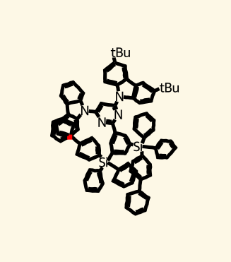 CC(C)(C)c1ccc2c(c1)c1cc(C(C)(C)C)ccc1n2-c1cc(-n2c3ccccc3c3ccccc32)nc(-c2cc([Si](c3ccccc3)(c3ccccc3)c3ccc(-c4ccccc4)cc3)cc([Si](c3ccccc3)(c3ccccc3)c3ccc(-c4ccccc4)cc3)c2)n1